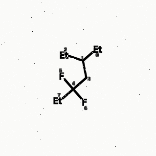 CCC(CC)CC(F)(F)CC